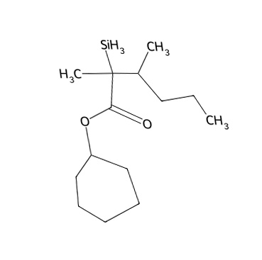 CCCC(C)C(C)([SiH3])C(=O)OC1CCCCC1